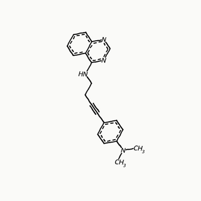 CN(C)c1ccc(C#CCCNc2ncnc3ccccc23)cc1